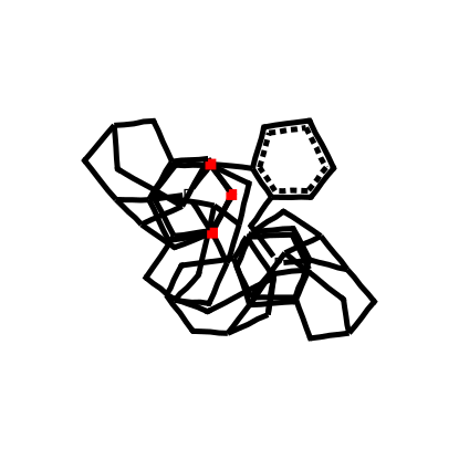 c1ccc(CP(C23CC4CC5C6CC(CC52)CC3C6C4)C23CC4CC5C6CC(CC52)CC3C6C4)c(CP(C23CC4CC5C6CC(CC52)CC3C6C4)C23CC4CC5C6CC(CC52)CC3C6C4)c1